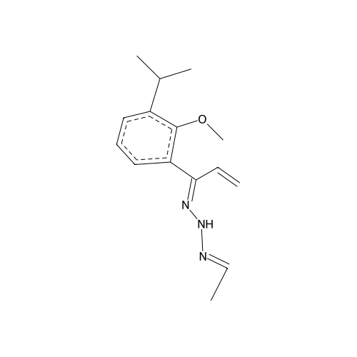 C=C/C(=N\N/N=C/C)c1cccc(C(C)C)c1OC